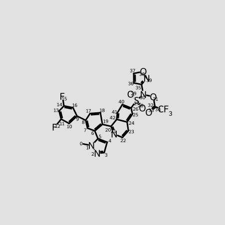 Cn1nccc1-c1cc(-c2cc(F)cc(F)c2)ccc1-c1nccc2cc(S(=O)(=O)N(OC(=O)C(F)(F)F)c3ccon3)ccc12